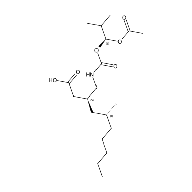 CCCCC[C@@H](C)C[C@H](CNC(=O)O[C@H](OC(C)=O)C(C)C)CC(=O)O